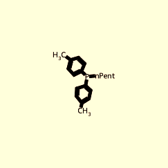 CCCCCP(c1ccc(C)cc1)c1ccc(C)cc1